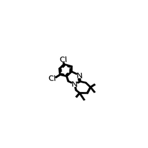 CC1(C)CC2=Nc3cc(Cl)cc(Cl)c3CN2CC(C)(C)C1